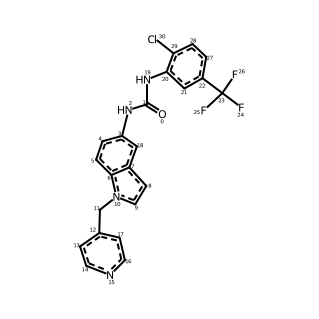 O=C(Nc1ccc2c(ccn2Cc2ccncc2)c1)Nc1cc(C(F)(F)F)ccc1Cl